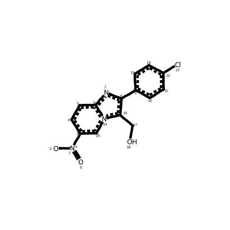 O=[N+]([O-])c1ccc2nc(-c3ccc(Cl)cc3)c(CO)n2c1